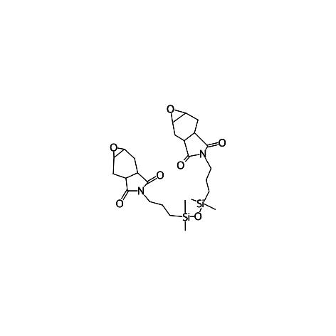 C[Si](C)(CCCN1C(=O)C2CC3OC3CC2C1=O)O[Si](C)(C)CCCN1C(=O)C2CC3OC3CC2C1=O